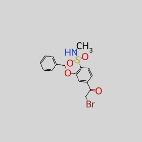 CNS(=O)(=O)c1ccc(C(=O)CBr)cc1OCc1ccccc1